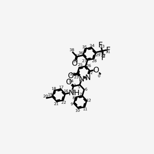 COc1nn(C(Cc2ccccc2)C(=O)Nc2ccc(C)cc2)c(=O)cc1-c1cc(C(F)(F)F)ccc1C(C)=O